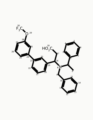 CC(c1ccccc1)N(Cc1ccccc1)C(CC(=O)O)c1cccc(-c2cccc(OC(F)(F)F)c2)c1